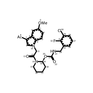 COc1ccc2c(c1)c(C(C)=O)cn2CC(=O)N1CCCC[C@@H]1OC(=O)NCc1cccc(Cl)c1F